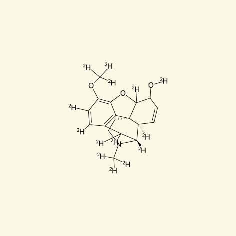 [2H]OC1C=C[C@]2([2H])[C@@]34CCN(C([2H])([2H])[2H])[C@]2([2H])C([2H])([2H])c2c([2H])c([2H])c(OC([2H])([2H])[2H])c(c23)OC14[2H]